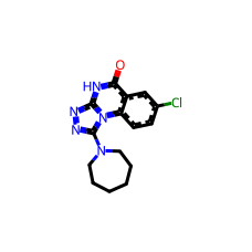 O=c1[nH]c2nnc(N3CCCCCC3)n2c2ccc(Cl)cc12